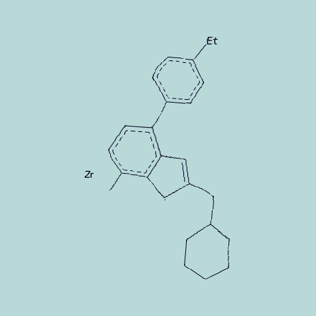 CCc1ccc(-c2ccc(C)c3c2C=C(CC2CCCCC2)[CH]3)cc1.[Zr]